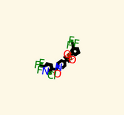 CC(C)(C1CCN(C(=O)c2ccc(C(F)(F)F)nc2Cl)CC1)S(=O)(=O)c1cccc(C(F)(F)F)c1